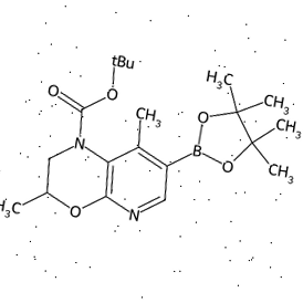 Cc1c(B2OC(C)(C)C(C)(C)O2)cnc2c1N(C(=O)OC(C)(C)C)CC(C)O2